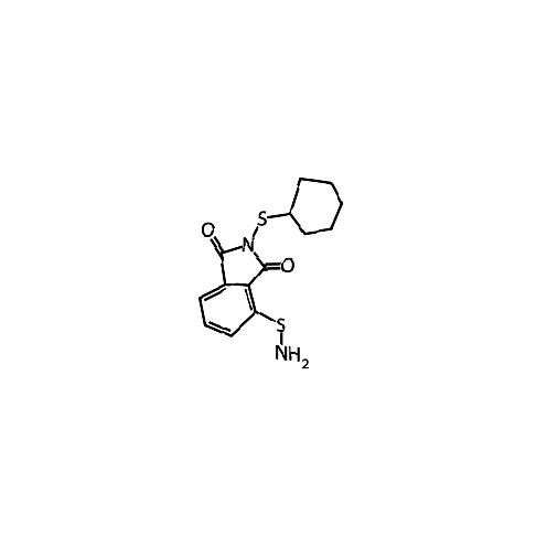 NSc1cccc2c1C(=O)N(SC1CCCCC1)C2=O